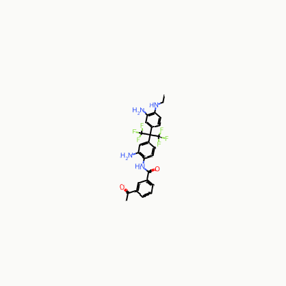 CCNc1ccc(C(c2ccc(NC(=O)c3cccc(C(C)=O)c3)c(N)c2)(C(F)(F)F)C(F)(F)F)cc1N